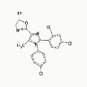 CCC1CN=C(c2nc(-c3ccc(Cl)cc3Cl)n(-c3ccc(Cl)cc3)c2C)O1